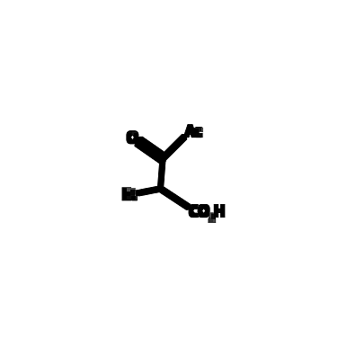 CCC(C(=O)O)C(=O)C(C)=O